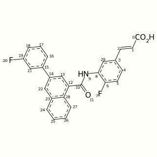 O=C(O)/C=C/c1ccc(F)c(NC(=O)c2cc(-c3cccc(F)c3)cc3ccccc23)c1